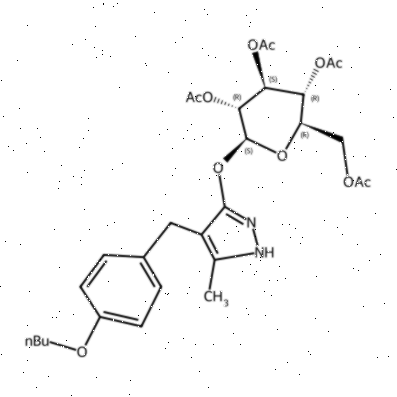 CCCCOc1ccc(Cc2c(O[C@@H]3O[C@H](COC(C)=O)[C@@H](OC(C)=O)[C@H](OC(C)=O)[C@H]3OC(C)=O)n[nH]c2C)cc1